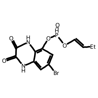 CCC=CO[PH](=O)Oc1cc(Br)cc2[nH]c(=O)c(=O)[nH]c12